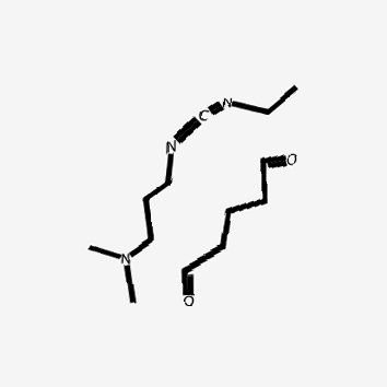 CCN=C=NCCCN(C)C.O=CCCCC=O